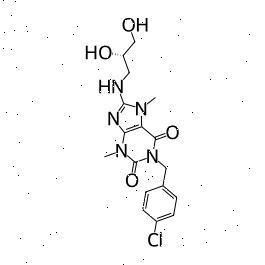 Cn1c(NC[C@H](O)CO)nc2c1c(=O)n(Cc1ccc(Cl)cc1)c(=O)n2C